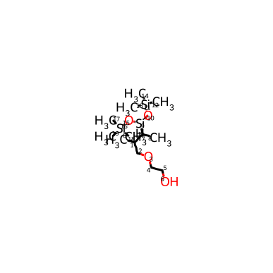 CC(COCCO)C(C)[SiH](O[Si](C)(C)C)O[Si](C)(C)C